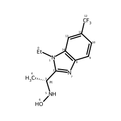 CCn1c([C@@H](C)NO)nc2ccc(C(F)(F)F)cc21